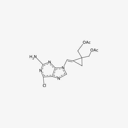 CC(=O)OCC1(COC(C)=O)C/C1=C\n1cnc2c(Cl)nc(N)nc21